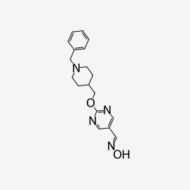 ON=Cc1cnc(OCC2CCN(Cc3ccccc3)CC2)nc1